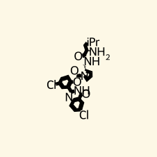 CC(C)C[C@H](N)C(=O)NC[C@@H]1CCCN1C(=O)Oc1ccc(Cl)cc1-c1nc2ccc(Cl)cc2c(=O)[nH]1